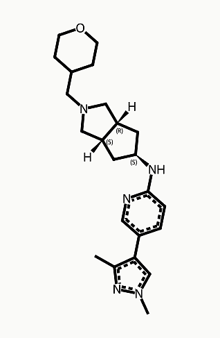 Cc1nn(C)cc1-c1ccc(N[C@H]2C[C@@H]3CN(CC4CCOCC4)C[C@@H]3C2)nc1